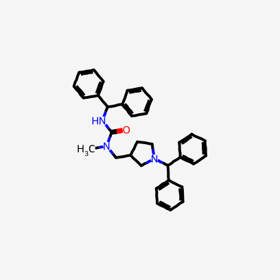 CN(CC1CCN(C(c2ccccc2)c2ccccc2)C1)C(=O)NC(c1ccccc1)c1ccccc1